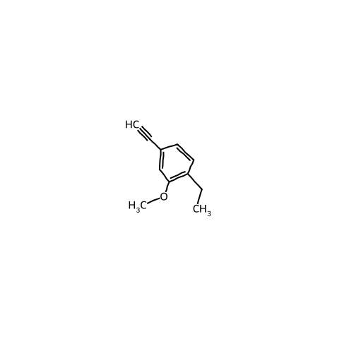 C#Cc1ccc(CC)c(OC)c1